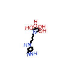 OC[C@@H]1[C@@H](O)[C@H](O)[C@@H](O)CN1CCCCCCNc1ccc2[nH]ncc2c1